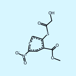 COC(=O)c1cc([N+](=O)[O-])ccc1SC(=O)CO